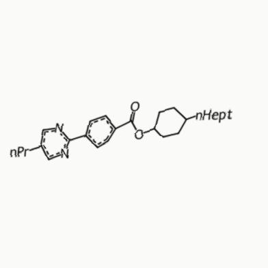 CCCCCCCC1CCC(OC(=O)c2ccc(-c3ncc(CCC)cn3)cc2)CC1